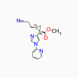 COC(=O)[C@]1(c2cn(-c3ccccn3)cn2)C[C@@H]1CCC#N